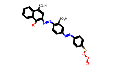 O=S(=O)(O)c1cc(/N=N/c2ccc(SOOO)cc2)ccc1/N=N/c1cc(S(=O)(=O)O)c2ccccc2c1O